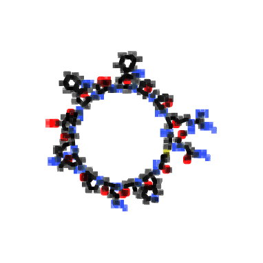 CCCC[C@H]1C(=O)N(C)[C@@H](CCCC)C(=O)N[C@@H](CCCNC(=N)N)C(=O)N[C@H](C(=O)NCC(N)=O)CSCC(=O)N[C@@H](Cc2cccnc2)C(=O)N(C)[C@@H](C)C(=O)N[C@@H](CC(N)=O)C(=O)N2CCC[C@H]2C(=O)N[C@@H](Cc2c[nH]cn2)C(=O)N[C@@H](CC(C)C)C(=O)N2C[C@H](O)C[C@H]2C(=O)N[C@@H](Cc2c[nH]c3ccccc23)C(=O)N[C@@H](CO)C(=O)N[C@@H](Cc2c[nH]c3ccccc23)C(=O)N1C